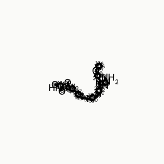 Nc1ncnc2c1c(-c1ccc(Oc3ccccc3)cc1)nn2C1CCN(CC2CCN(CCCN3CCC(c4ccc5c(c4)CN(C4CCC(=O)NC4=O)C5=O)CC3)CC2)CC1